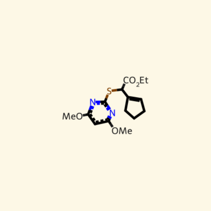 CCOC(=O)C(Sc1nc(OC)cc(OC)n1)C1=CCCC1